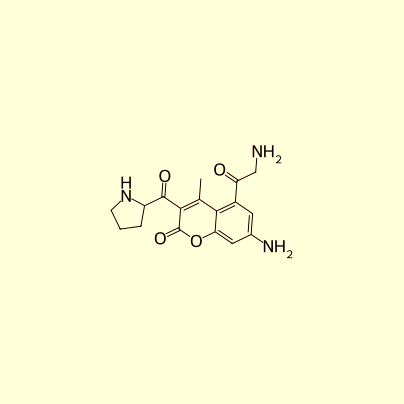 Cc1c(C(=O)C2CCCN2)c(=O)oc2cc(N)cc(C(=O)CN)c12